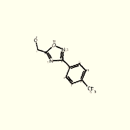 [O]Cc1nc(-c2ccc(C(F)(F)F)cc2)no1